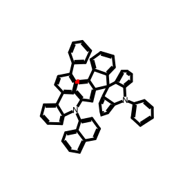 c1ccc(-c2ccc(-c3ccccc3N(c3ccc4c(c3)C3(c5ccccc5-4)c4ccccc4N(c4ccccc4)c4ccccc43)c3cccc4ccccc34)cc2)cc1